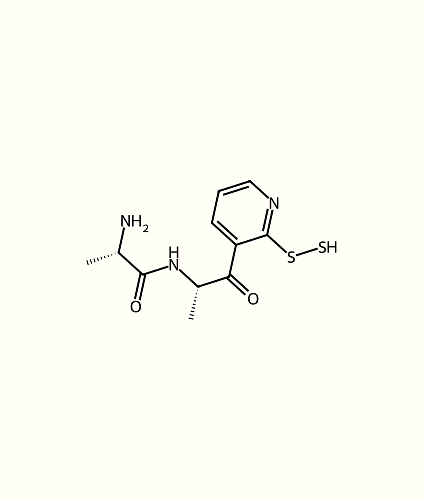 C[C@H](N)C(=O)N[C@@H](C)C(=O)c1cccnc1SS